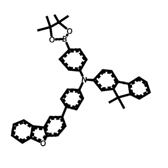 CC1(C)c2ccccc2-c2ccc(N(c3ccc(B4OC(C)(C)C(C)(C)O4)cc3)c3ccc(-c4ccc5oc6ccccc6c5c4)cc3)cc21